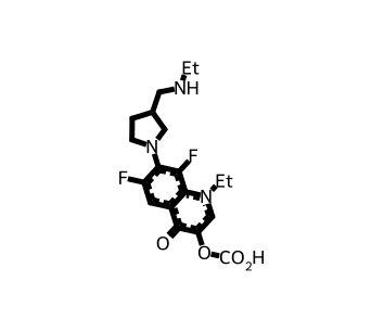 CCNCC1CCN(c2c(F)cc3c(=O)c(OC(=O)O)cn(CC)c3c2F)C1